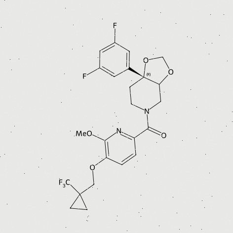 COc1nc(C(=O)N2CC[C@]3(c4cc(F)cc(F)c4)OCOC3C2)ccc1OCC1(C(F)(F)F)CC1